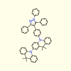 CC1(C)c2ccccc2N(c2ccc3c(c2)C(C)(C)c2ccccc2N3c2ccc(-c3c(-c4ccccc4)nn(-c4ccccc4)c3-c3ccccc3)cc2)c2ccccc21